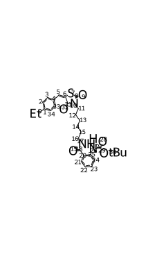 CCc1ccc(C=C2SC(=O)N(CCCCCCNC(=O)c3ccccc3NC(=O)OC(C)(C)C)C2=O)cc1